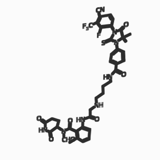 Cc1cccc(NC(=O)CNCCCCNC(=O)c2ccc(N3C(=S)N(c4ccc(C#N)c(C(F)(F)F)c4F)C(=O)C3(C)C)cc2)c1C(=O)N(C=O)C1CCC(=O)NC1=O